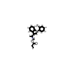 CCC(=O)O/N=C(\C)c1cn(-c2ccccc2F)c2ccccc12